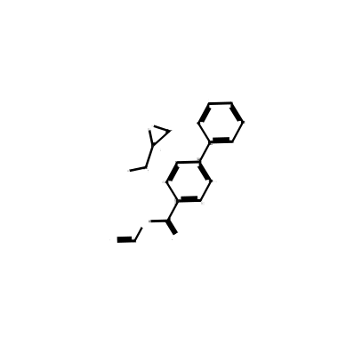 C=COC(=O)c1ccc(-c2ccccc2)cc1.OCC1CO1